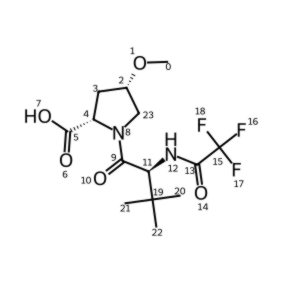 CO[C@H]1C[C@@H](C(=O)O)N(C(=O)[C@@H](NC(=O)C(F)(F)F)C(C)(C)C)C1